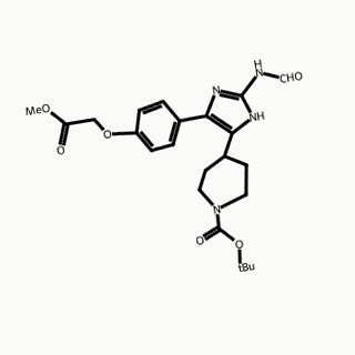 COC(=O)COc1ccc(-c2nc(NC=O)[nH]c2C2CCN(C(=O)OC(C)(C)C)CC2)cc1